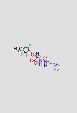 Cc1cc(F)c(COc2nsc(NC(=O)NCCCN3CCCCCC3)c2C(=O)O)c(F)c1F